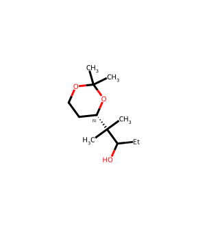 CCC(O)C(C)(C)[C@@H]1CCOC(C)(C)O1